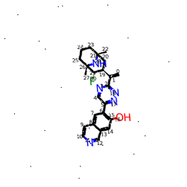 C=C(c1ncc(-c2cc3ccncc3cc2O)nn1)[C@@H]1C[C@@]2(C)CCC[C@](C)(N2)[C@H]1F